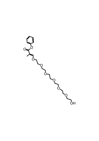 CC(=COCCOCCOCCOCCOCCOCCO)C(=O)Oc1ccccc1